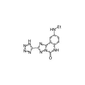 CCNc1ccc2[nH]c(=O)n3nc(-c4nnn[nH]4)nc3c2c1